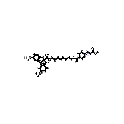 COC(=O)/C=C/c1ccc(C(=O)OCCCCCCCCOC(=O)C(Cc2ccc(N)cc2)(Cc2ccc(N)cc2)C(=O)O)cc1